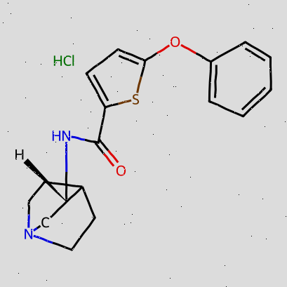 Cl.O=C(N[C@H]1CN2CCC1CC2)c1ccc(Oc2ccccc2)s1